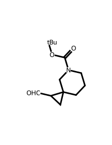 CC(C)(C)OC(=O)N1CCCC2(CC2C=O)C1